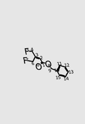 O=C(C=C(CF)CF)OCc1ccccc1